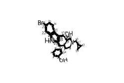 Oc1cccc([C@@]23CCN(CC4CC4)C[C@@]2(O)Cc2c([nH]c4cc(Br)ccc24)C3)c1